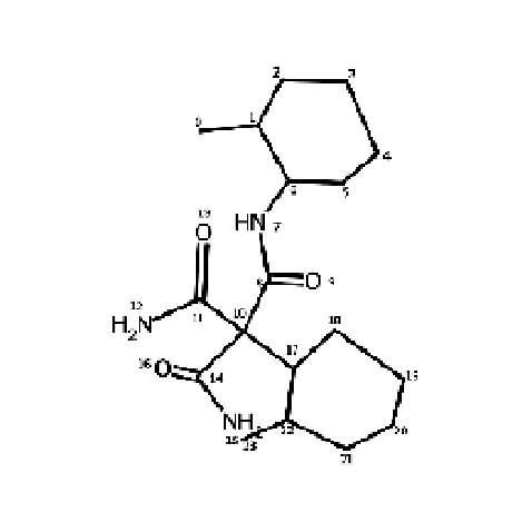 CC1CCCCC1NC(=O)C(C(N)=O)(C(N)=O)C1CCCCC1C